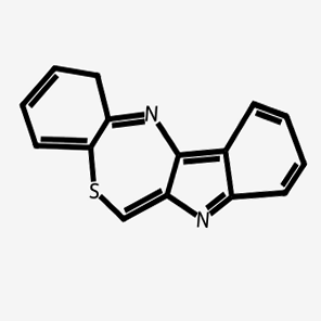 C1=CCC2=NC3=c4ccccc4=NC3=CSC2=C1